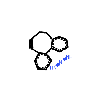 C1#Cc2ccccc2-c2ccccc2CC1.N=[N+]=N